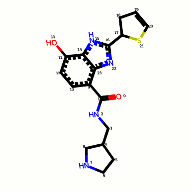 O=C(NCC1CCNC1)c1ccc(O)c2[nH]c(C3CC=CS3)nc12